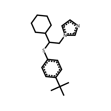 CC(C)(C)c1ccc(SC(Cn2ccnc2)C2CCCCC2)cc1